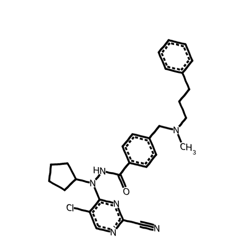 CN(CCCc1ccccc1)Cc1ccc(C(=O)NN(c2nc(C#N)ncc2Cl)C2CCCC2)cc1